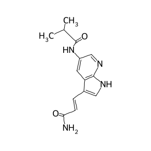 CC(C)C(=O)Nc1cnc2[nH]cc(C=CC(N)=O)c2c1